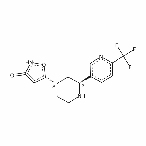 O=c1cc([C@H]2CCN[C@H](c3ccc(C(F)(F)F)nc3)C2)o[nH]1